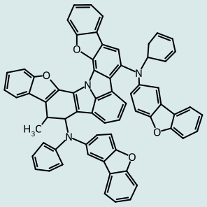 CC1c2c(oc3ccccc23)-c2c(c3cccc4c5c(N(c6ccc7oc8ccccc8c7c6)C6C=CC=CC6)cc6c7ccccc7oc6c5n2c34)C1N(c1ccccc1)c1ccc2oc3ccccc3c2c1